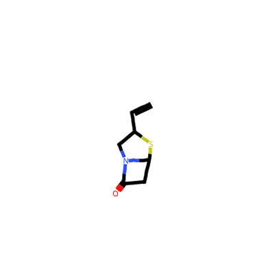 C=CC1CN2C(=O)CC2S1